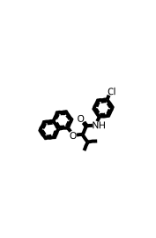 CC(C)C(Oc1cccc2ccccc12)C(=O)Nc1ccc(Cl)cc1